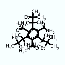 CCC(C)(C)C(C)(C)c1c(C(N)=O)c(C(C)(C)C(C)(C)CC)c(C(N)=O)c(C(C)(C)C(C)(C)CC)c1C(N)=O